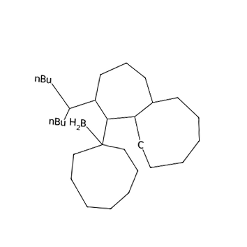 BC1(C2C3CCCCCCC3CCCC2C(CCCC)CCCC)CCCCCCC1